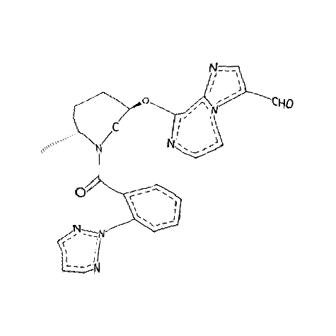 C[C@@H]1CC[C@@H](Oc2nccn3c(C=O)cnc23)CN1C(=O)c1ccccc1-n1nccn1